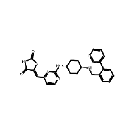 O=C1NC(=O)C(=Cc2ccnc(N[C@H]3CC[C@H](NCc4ccccc4-c4cccnc4)CC3)n2)S1